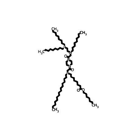 CCCCCCCCCCCCCCCCN(CCCCCCCC(=O)OCCCCCCC)CC(=O)N1CCN(C(=O)CN(CCCCCCCCC)CCN(CCCCCCCCC)CCCCCCCCC)CC1